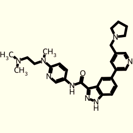 CN(C)CCN(C)c1ccc(NC(=O)c2n[nH]c3ccc(-c4cncc(CN5CCCC5)c4)cc23)cn1